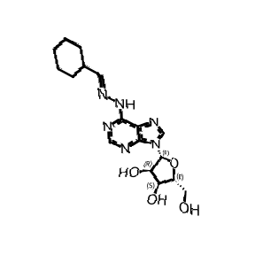 OC[C@H]1O[C@@H](n2cnc3c(NN=CC4CCCCC4)ncnc32)[C@H](O)[C@@H]1O